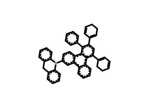 C1=CCCC(c2cc(C3=CCCC=C3)c(-c3ccccc3)c3c4ccc(N5c6ccccc6Cc6ccccc65)cc4c4ccccc4c23)=C1